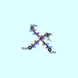 COc1ccc(NC(=O)CCNC(=O)CCOCC(COCCC(=O)NCCC(=O)Nc2ccc(OC)cc2)(COCCC(=O)NCCC(=O)Nc2ccc(OC)cc2)NC(=O)CCC(C)CC(C)C(=O)C(C)C)cc1